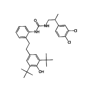 CC(CNC(=O)Nc1ccccc1CCc1cc(C(C)(C)C)c(O)c(C(C)(C)C)c1)c1ccc(Cl)c(Cl)c1